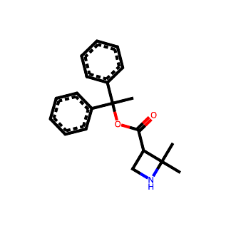 CC(OC(=O)C1CNC1(C)C)(c1ccccc1)c1ccccc1